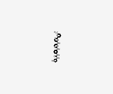 Cc1cccc(-c2nccc(Nc3ccnc(Nc4cccc(NC(=O)NC5CCNC5)c4)n3)n2)n1